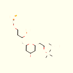 CCOC(=O)C[C@@H](C[C@H]1C[C@@H](O)C[C@@H](C[C@H](CCOB=[PH]=S)OP)O1)O[Si](C)(C)C